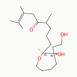 CC(C)=C(C)CC(=O)C(C)CCC[C@]1(C)OCCCC[C@@]1(O)CCO